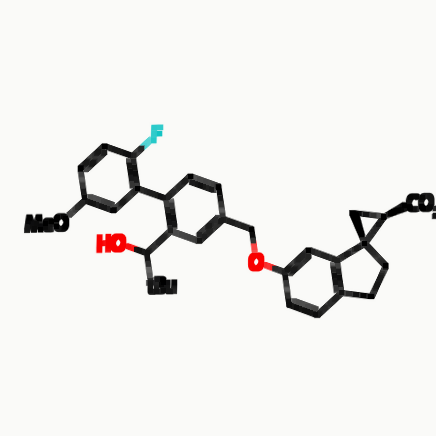 CCOC(=O)[C@@H]1C[C@]12CCc1ccc(OCc3ccc(-c4cc(OC)ccc4F)c(C(O)C(C)(C)C)c3)cc12